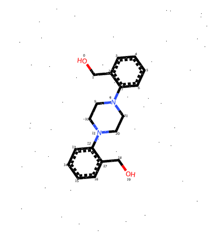 OCc1ccccc1N1CCN(c2ccccc2CO)CC1